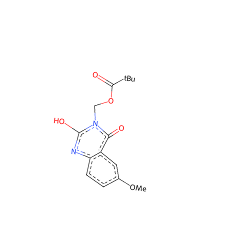 COc1ccc2nc(O)n(COC(=O)C(C)(C)C)c(=O)c2c1